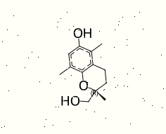 Cc1cc(O)c(C)c2c1O[C@@](C)(CO)CC2